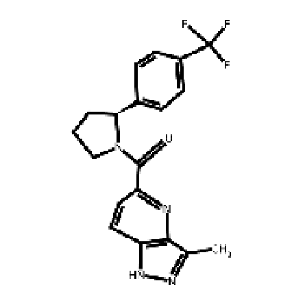 Cc1n[nH]c2ccc(C(=O)N3CCC[C@H]3c3ccc(C(F)(F)F)cc3)nc12